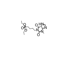 CCOP(=O)(CCCCn1c(=O)c2[nH]cnc2n(C)c1=O)OCC